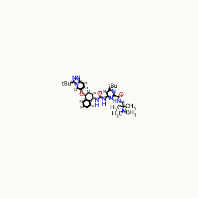 CN(C)C(C)(C)CNC(=O)c1nc(NC(=O)N[C@H]2CC[C@@H](Oc3ccc4nnc(C(C)(C)C)n4c3)c3ccccc32)cc(C(C)(C)C)n1